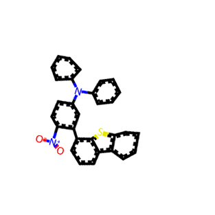 O=[N+]([O-])c1ccc(N(c2ccccc2)c2ccccc2)cc1-c1cccc2c1sc1ccccc12